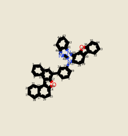 c1cc(-c2cc3ccccc3c3c2oc2ccc4ccccc4c23)cc(-n2c3ccc4c5ccccc5oc4c3n3c4ccccc4nc23)c1